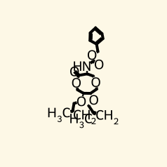 C=C(C)CO[C@H]1COC[C@H](NC(=O)OCc2ccccc2)C(=O)OC[C@@H]1OCC(=C)C